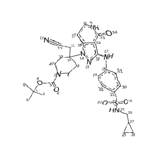 CC(C)(C)OC(=O)N1CCC(CC#N)(n2nc(Nc3ccc(S(=O)(=O)NCC4CC4)cc3)c3c(=O)[nH]ccc32)CC1